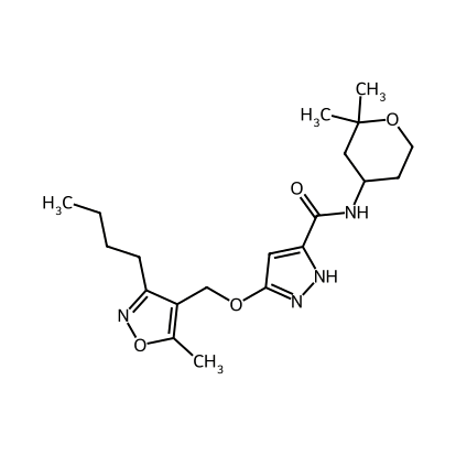 CCCCc1noc(C)c1COc1cc(C(=O)NC2CCOC(C)(C)C2)[nH]n1